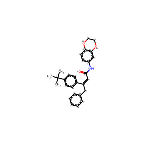 CC(C)(C)c1ccc(/C(=C\C(=O)Nc2ccc3c(c2)OCCO3)Cc2ccccc2)cc1